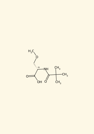 COC[C@H](NC(=O)C(C)(C)C)C(=O)O